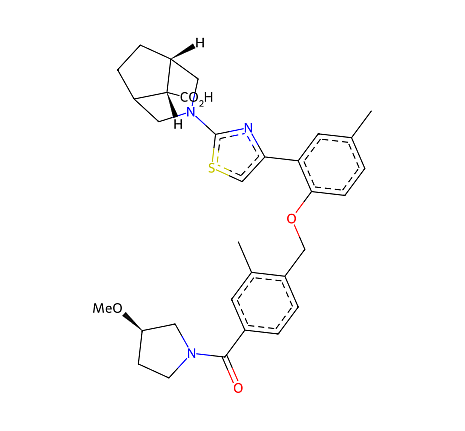 CO[C@@H]1CCN(C(=O)c2ccc(COc3ccc(C)cc3-c3csc(N4CC5CC[C@H](C4)[C@@H]5C(=O)O)n3)c(C)c2)C1